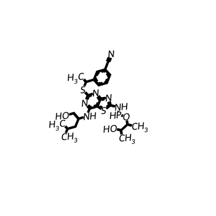 CC(C)CC(CO)Nc1nc(SC(C)c2cccc(C#N)c2)nc2nc(NPOC(C)C(C)O)sc12